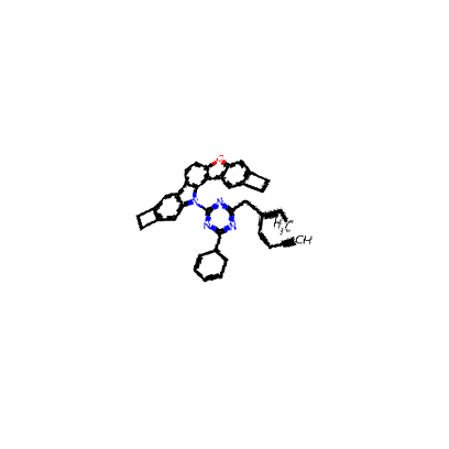 C#C/C=C\C(=C/C)Cc1nc(C2C=CC=CC2)nc(-n2c3cc4c(cc3c3ccc5oc6cc7c(cc6c5c32)CC7)CC4)n1